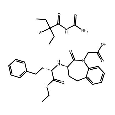 CCC(Br)(CC)C(=O)NC(N)=O.CCOC(=O)[C@H](CCc1ccccc1)N[C@H]1CCc2ccccc2N(CC(=O)O)C1=O